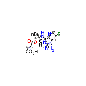 CCCC[C@](C)(COC(=O)/C=C/C(=O)O)Nc1nc(N)nc2cc(F)cnc12